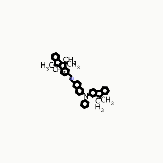 CC1(C)C2=C(c3ccccc31)C(C)(C)c1cc(/C=C/c3ccc4cc(N(c5ccccc5)c5ccc6c(c5)C(C)(C)c5ccccc5-6)ccc4c3)ccc12